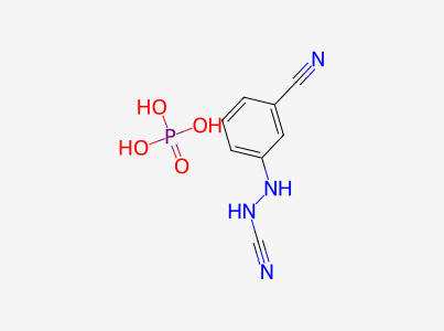 N#CNNc1cccc(C#N)c1.O=P(O)(O)O